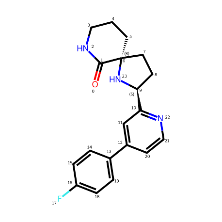 O=C1NCCC[C@@]12CC[C@@H](c1cc(-c3ccc(F)cc3)ccn1)N2